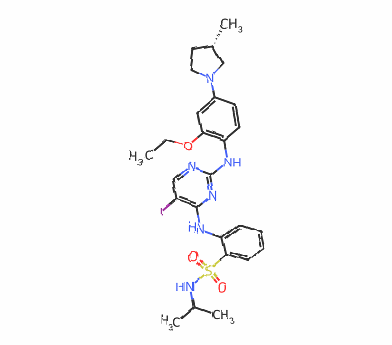 CCOc1cc(N2CC[C@H](C)C2)ccc1Nc1ncc(I)c(Nc2ccccc2S(=O)(=O)NC(C)C)n1